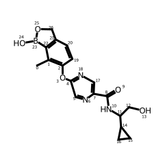 Cc1c(Oc2cnc(C(=O)NC(CO)C3CC3)cn2)ccc2c1B(O)OC2